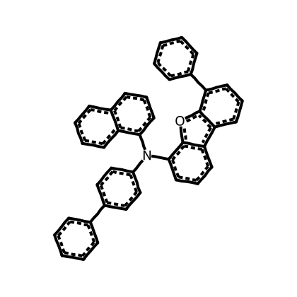 c1ccc(-c2ccc(N(c3cccc4ccccc34)c3cccc4c3oc3c(-c5ccccc5)cccc34)cc2)cc1